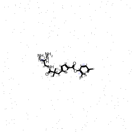 C=C(C)/C=C\C(OC(=O)c1ccc(CC(C)(C)C(=O)NC/C(=N/N)NN)s1)=C(/C)F